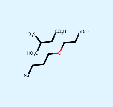 CCCCCCCCCCCCOCC[CH2][Na].O=C(O)CC(C(=O)O)S(=O)(=O)O